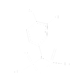 CCCCS(=O)(=O)N(c1ccc(C(C)=O)c(Cl)c1)S(=O)(=O)CCCC